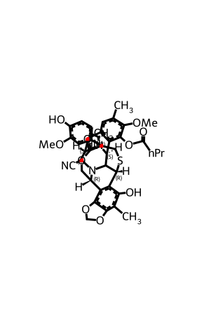 CCCC(=O)Oc1c(OC)c(C)cc2c1[C@H]1C3[C@@H]4SC[C@]5(NCCc6cc(O)c(OC)cc65)C(=O)OC[C@@H](c5c6c(c(C)c(O)c54)OCO6)N3[C@@H](C#N)[C@H](C2)N1C